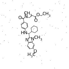 CCOC(=O)CCN(C)C(=O)c1ccc(NC(c2nc3ccc(OC)cc3n2C)C2CCCCC2)cc1